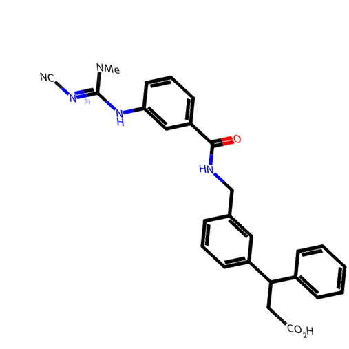 CN/C(=N\C#N)Nc1cccc(C(=O)NCc2cccc(C(CC(=O)O)c3ccccc3)c2)c1